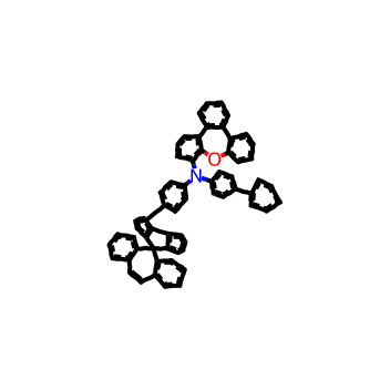 C1=Cc2ccccc2C2(c3ccccc31)c1ccccc1-c1c(-c3ccc(N(c4ccc(-c5ccccc5)cc4)c4cccc5c4Oc4ccccc4-c4ccccc4-5)cc3)cccc12